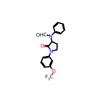 O=CN(c1ccccc1)C1CCN(c2cccc(OC(F)(F)F)c2)C1=O